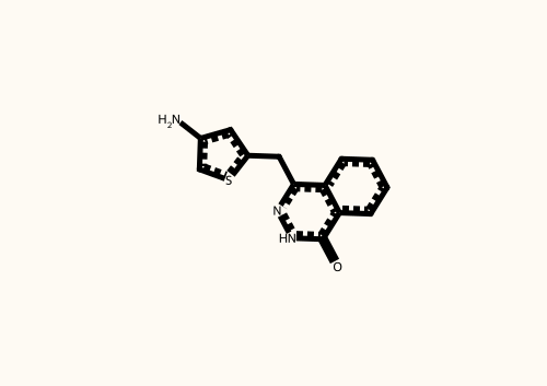 Nc1csc(Cc2n[nH]c(=O)c3ccccc23)c1